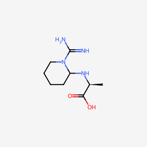 C[C@H](NC1CCCCN1C(=N)N)C(=O)O